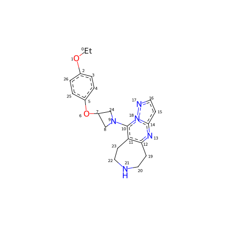 CCOc1ccc(OC2CN(c3c4c(nc5ccnn35)CCNCC4)C2)cc1